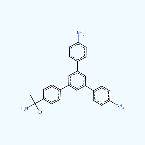 CCC(C)(N)c1ccc(-c2cc(-c3ccc(N)cc3)cc(-c3ccc(N)cc3)c2)cc1